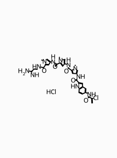 C=C(Cl)C(=O)Nc1ccc2[nH]c(C(=O)Nc3cc(C(=O)Nc4cc(C(=O)Nc5cc(C(=O)NCCC(=N)N)n(C)c5)n(C)c4)n(C)c3)cc2c1.Cl